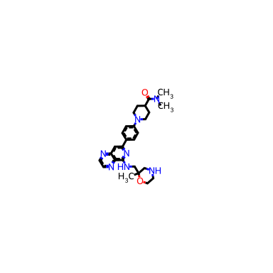 CN(C)C(=O)C1CCN(c2ccc(-c3cc4nccnc4c(NCC4(C)CNCCO4)n3)cc2)CC1